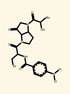 CCC(C)C(O)C(=O)N1CC(=O)C2C1CCN2C(=O)C(CC(C)C)NC(=O)c1ccc(N(CC)CC)cc1